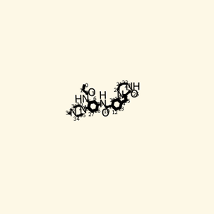 C=CC(=O)Nc1cc(NC(=O)c2ccc3cc4n(c3c2)CCCNC4=O)ccc1N1CCN(C)CC1